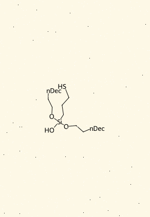 CCCCCCCCCCCCO[Si](O)(CCCS)OCCCCCCCCCCCC